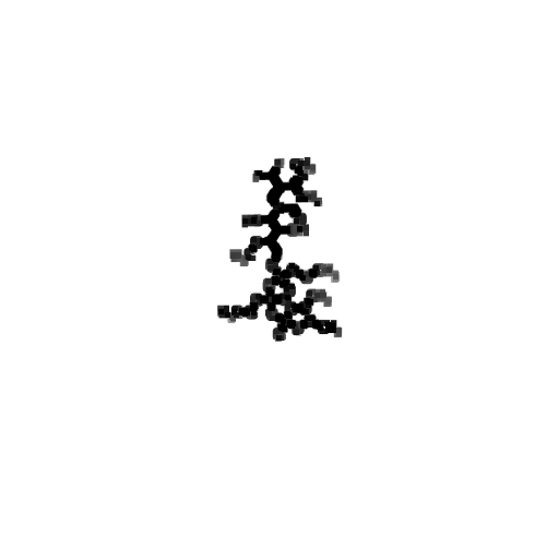 C/N=C(N)\C(=C/N(C=O)C(O)C(O)C(COP(=O)(OOC)OP(=O)(OOC)OP(=O)(OOC)OOC)OC)C(F)F